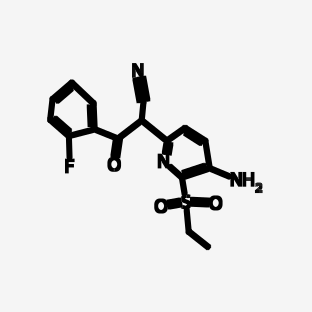 CCS(=O)(=O)c1nc(C(C#N)C(=O)c2ccccc2F)ccc1N